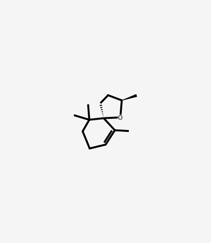 CC1=CCCC(C)(C)[C@]12CC[C@@H](C)O2